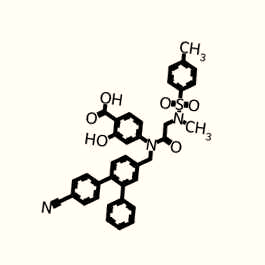 Cc1ccc(S(=O)(=O)N(C)CC(=O)N(Cc2ccc(-c3ccc(C#N)cc3)c(-c3ccccc3)c2)c2ccc(C(=O)O)c(O)c2)cc1